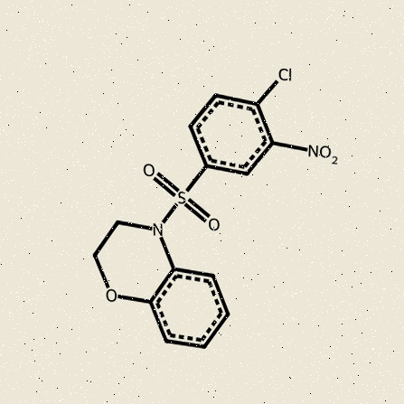 O=[N+]([O-])c1cc(S(=O)(=O)N2CCOc3ccccc32)ccc1Cl